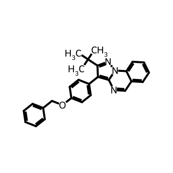 CC(C)(C)c1nn2c(ncc3ccccc32)c1-c1ccc(OCc2ccccc2)cc1